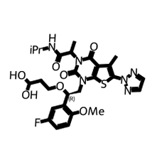 COc1ccc(F)cc1[C@H](Cn1c(=O)n(C(C)C(=O)NC(C)C)c(=O)c2c(C)c(-n3nccn3)sc21)OCCC(O)O